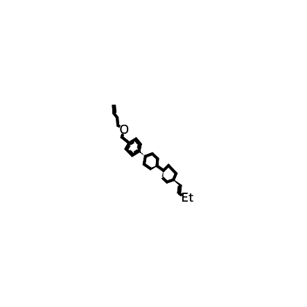 C=CCCOCc1ccc([C@H]2CC[C@H]([C@H]3CC[C@H](C=CCC)CC3)CC2)cc1